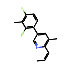 C/C=C\c1ncc(-c2ccc(F)c(C)c2F)cc1C